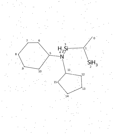 CC([SiH3])[SiH2]N(C1CCCCC1)C1CCCC1